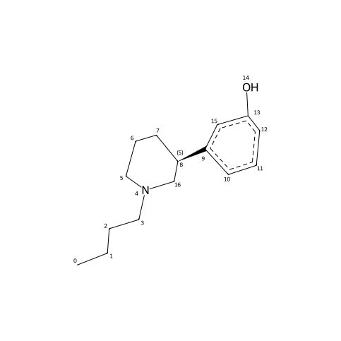 CCCCN1CCC[C@@H](c2cccc(O)c2)C1